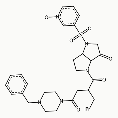 CC(C)CC(CC(=O)N1CCN(Cc2ccccc2)CC1)C(=O)N1CCC2C1C(=O)CN2S(=O)(=O)c1ccc[n+]([O-])c1